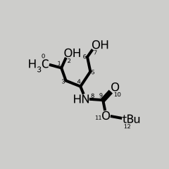 CC(O)CC(CCO)NC(=O)OC(C)(C)C